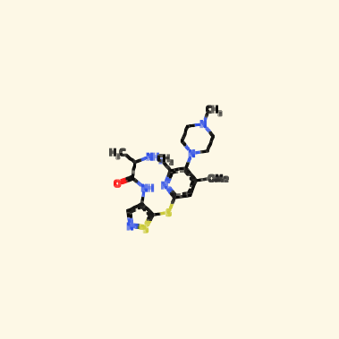 COc1cc(Sc2sncc2NC(=O)C(C)N)nc(C)c1N1CCN(C)CC1